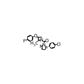 C[C@@H]1[C@H](Oc2ccc(F)cc2)CN1C(=O)N1N=CC[C@H]1c1ccc(Cl)cc1